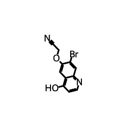 N#CCOc1cc2c(O)ccnc2cc1Br